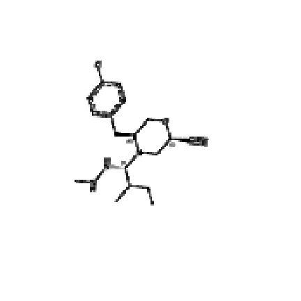 C#C[C@H]1CN([C@@H](NNC)C(C)CC)[C@@H](Cc2ccc(Cl)cc2)CO1